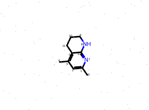 Cc1cc(C)c2c(n1)NCCC2